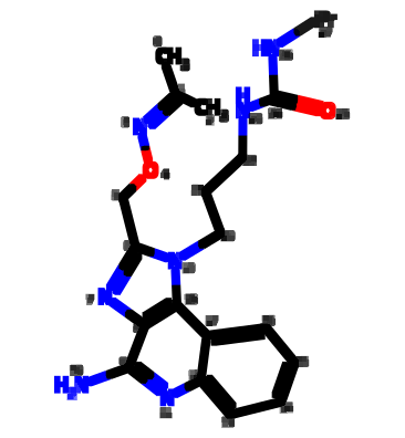 CC(C)=NOCc1nc2c(N)nc3ccccc3c2n1CCCNC(=O)NC(C)C